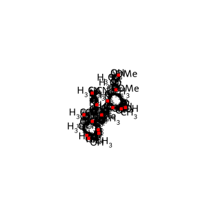 C/C(=N\C#N)N(C)Cc1ccc(Cl)nc1.CC[C@H](C)[C@H]1O[C@]2(C=C[C@@H]1C)C[C@@H]1C[C@@H](C/C=C(\C)[C@@H](O[C@H]3C[C@H](OC)[C@@H](O[C@H]4C[C@H](OC)[C@@H](O)[C@H](C)O4)[C@H](C)O3)[C@@H](C)/C=C/C=C3\CO[C@@H]4[C@H](O)C(C)=C[C@@H](C(=O)O1)[C@]34O)O2.CO[C@H]1C[C@H](O[C@H]2[C@H](C)O[C@@H](O[C@@H]3/C(C)=C/C[C@@H]4C[C@@H](C[C@]5(C=C[C@H](C)[C@@H](C(C)C)O5)O4)OC(=O)[C@@H]4C=C(C)[C@@H](O)[C@H]5OC/C(=C\C=C\[C@@H]3C)[C@]54O)C[C@@H]2OC)O[C@@H](C)[C@@H]1O